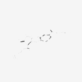 CCOC(=O)C1=C(Nc2ccc(C(=O)OCC)cc2)OCC1=O